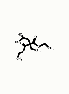 CCOC(=O)C(CC)(CC(O)O)C(=O)OCC